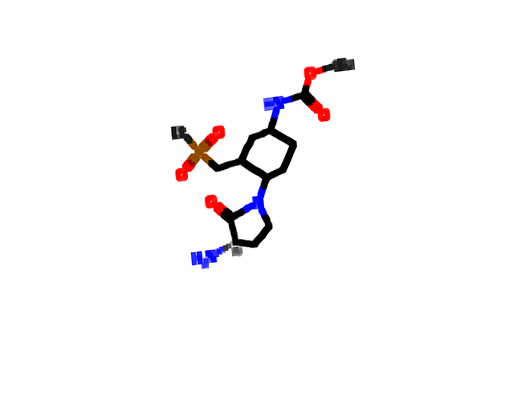 CCS(=O)(=O)CC1CC(NC(=O)OC(C)(C)C)CCC1N1CC[C@H](N)C1=O